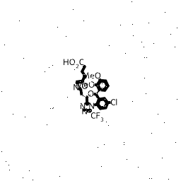 COc1cccc([C@@H]2O[C@@H](Cc3ncc(CCCC(=O)O)o3)c3nnc(C(F)(F)F)n3-c3ccc(Cl)cc32)c1OC